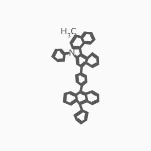 Cc1cc2c(c3ccccc13)c1c3ccccc3c(-c3ccc(-c4c5ccccc5c(-c5ccccc5)c5ccccc45)cc3)cc1n2-c1ccccc1